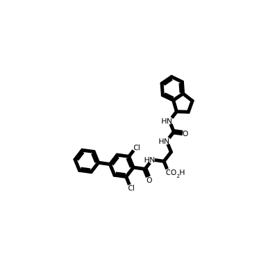 O=C(NCC(NC(=O)c1c(Cl)cc(-c2ccccc2)cc1Cl)C(=O)O)NC1CCc2ccccc21